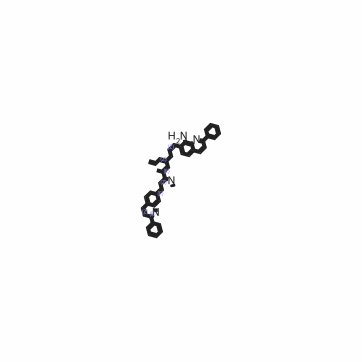 C=C\C=C(/C=C(C)/C(=C/C=C1/C=CC(/C=C\C(=N/C)c2ccccc2)=CC1)N=C)C/C=C\c1ccc2ccc(-c3ccccc3)nc2c1N